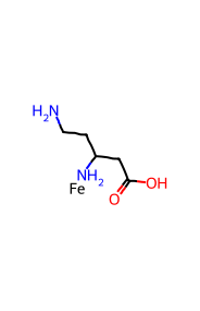 NCCC(N)CC(=O)O.[Fe]